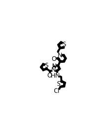 O=C(c1cccs1)n1nc(-c2cccn(Cc3ccsc3)c2=O)cc1NCc1ccc(Cl)s1